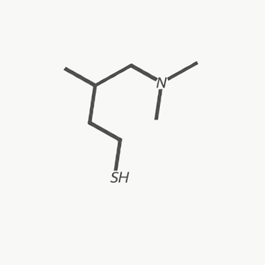 CC(CCS)CN(C)C